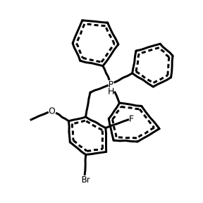 COc1cc(Br)cc(F)c1C[PH](c1ccccc1)(c1ccccc1)c1ccccc1